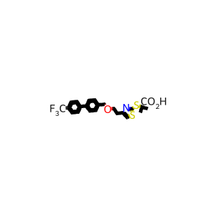 CC(C)(Sc1nc(CCOCc2ccc(-c3ccc(C(F)(F)F)cc3)cc2)cs1)C(=O)O